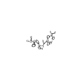 C=C(C)C(=O)OC(O)CCC(O)OC(=O)C(=C)C